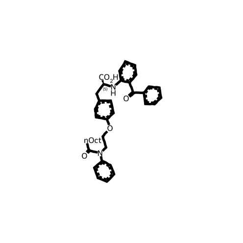 CCCCCCCCC(=O)N(CCOc1ccc(C[C@H](Nc2ccccc2C(=O)c2ccccc2)C(=O)O)cc1)c1ccccc1